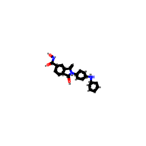 C=C1c2cc(C(=O)N=O)ccc2C(=O)N1c1ccc(Nc2ccccc2)cc1